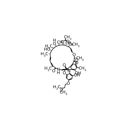 CO[C@H]1/C=C/O[C@@]2(C)Oc3c(C)c(O)c4c(=O)c(c5oc6cc(OCCN(C)C)cc(O)c6nc-5c4c3C2=O)NC(=O)/C(C)=C\C=C\[C@H](C)[C@H](O)[C@@H](C)[C@@H](O)[C@@H](C)[C@H](OC(C)=O)[C@@H]1C